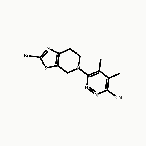 Cc1c(C#N)nnc(N2CCc3nc(Br)sc3C2)c1C